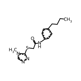 CCCCc1ccc(NC(=O)CSc2nncn2C)cc1